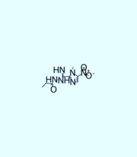 CCC(=O)NNC(=N)c1ncc([N+](=O)[O-])n1C